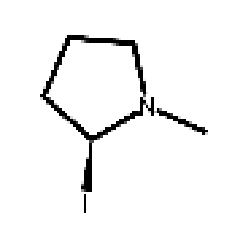 CN1CCC[C@@H]1I